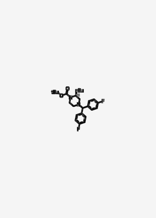 CCCC[C@H]1CN(C(c2ccc(F)cc2)c2ccc(F)cc2)CCN1C(=O)OC(C)(C)C